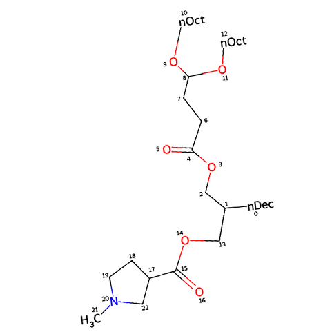 CCCCCCCCCCC(COC(=O)CCC(OCCCCCCCC)OCCCCCCCC)COC(=O)C1CCN(C)C1